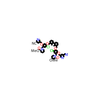 C/N=C/c1cncc(COc2cc(OCc3cccc(-c4cccc(COc5cc(OCc6cncc(C#N)c6)c(CN6CCCC[C@H]6C(=O)OC)cc5Cl)c4C)c3C)c(Cl)cc2CN2CCCC[C@H]2C(=O)OC)c1